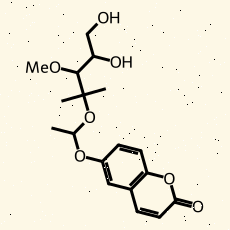 COC(C(O)CO)C(C)(C)OC(C)Oc1ccc2oc(=O)ccc2c1